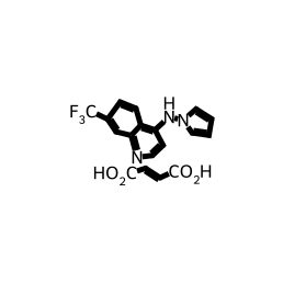 FC(F)(F)c1ccc2c(Nn3cccc3)ccnc2c1.O=C(O)C=CC(=O)O